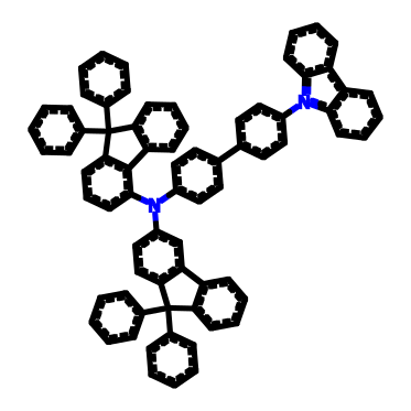 c1ccc(C2(c3ccccc3)c3ccccc3-c3cc(N(c4ccc(-c5ccc(-n6c7ccccc7c7ccccc76)cc5)cc4)c4cccc5c4-c4ccccc4C5(c4ccccc4)c4ccccc4)ccc32)cc1